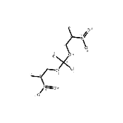 CC(COC(Cl)(Cl)OCC(C)[N+](=O)[O-])[N+](=O)[O-]